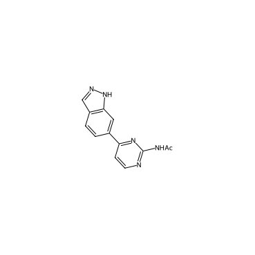 CC(=O)Nc1nccc(-c2ccc3cn[nH]c3c2)n1